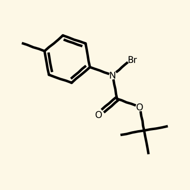 Cc1ccc(N(Br)C(=O)OC(C)(C)C)cc1